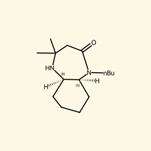 CCCCN1C(=O)CC(C)(C)N[C@@H]2CCCC[C@@H]21